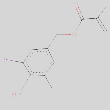 C=C(C)C(=O)OCc1cc(C)c(O)c(I)c1